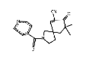 CC1(C)CC2(C=C(C#N)C1=O)CCN(C(=O)c1ccncc1)C2